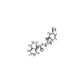 CCc1ccc2sc(SCC(=O)N3CCCc4ccccc43)nc2c1